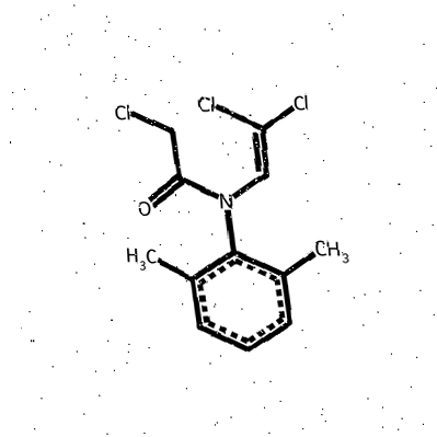 Cc1cccc(C)c1N(C=C(Cl)Cl)C(=O)CCl